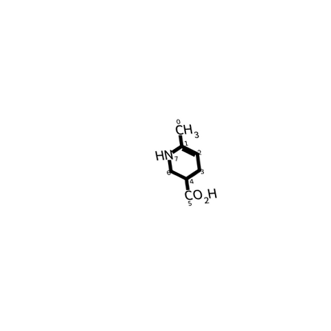 CC1=CCC(C(=O)O)CN1